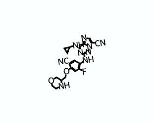 N#Cc1cc(Nc2nc(NC3CC3)c3ncc(C#N)n3n2)c(F)cc1OCC1COCCN1